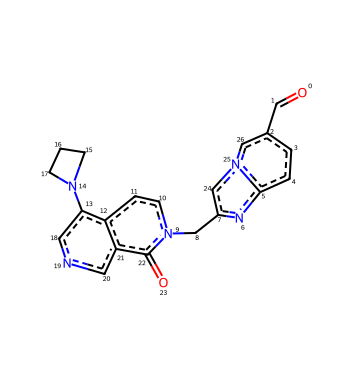 O=Cc1ccc2nc(Cn3ccc4c(N5CCC5)cncc4c3=O)cn2c1